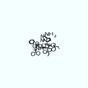 CCC(=O)O[C@H]1[C@H](c2ccc3c(N)ncnn23)O[C@](C)(CO[P@@](=O)(N[C@@H](C)C(=O)OC)Oc2ccccc2)[C@H]1OC(=O)CC